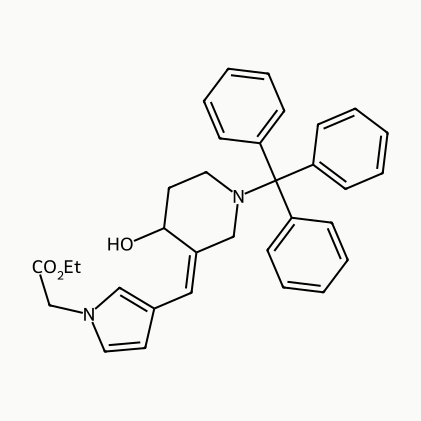 CCOC(=O)Cn1ccc(C=C2CN(C(c3ccccc3)(c3ccccc3)c3ccccc3)CCC2O)c1